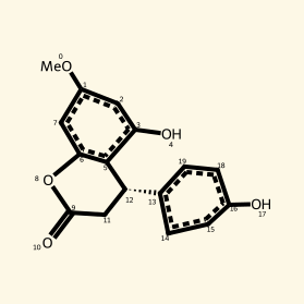 COc1cc(O)c2c(c1)OC(=O)C[C@H]2c1ccc(O)cc1